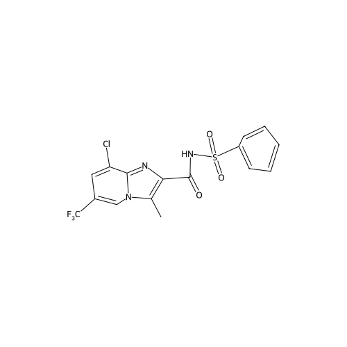 Cc1c(C(=O)NS(=O)(=O)c2ccccc2)nc2c(Cl)cc(C(F)(F)F)cn12